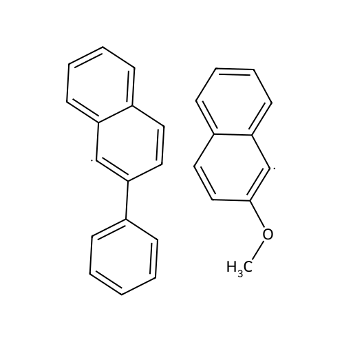 COc1[c]c2ccccc2cc1.[c]1c(-c2ccccc2)ccc2ccccc12